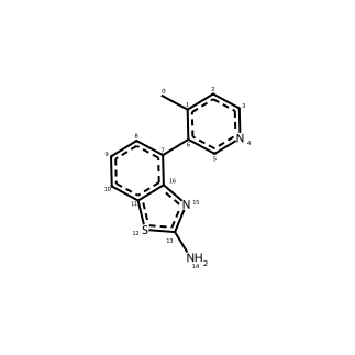 Cc1ccncc1-c1cccc2sc(N)nc12